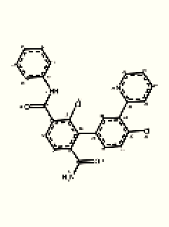 NC(=O)c1ccc(C(=O)Nc2ccccn2)c(Cl)c1-c1ccc(Cl)c(-c2ccccn2)c1